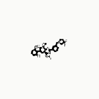 COn1c(=O)c(-c2c(Cl)cccc2Cl)cc2c(N)nc(-c3cccc(CN4CCC(F)(F)C4)c3)nc21